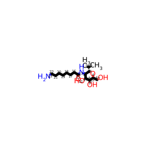 CC(C)[C@@H]1OC(CO)[C@@H](O)[C@H](O)C1NC(=O)CCCCCCCN